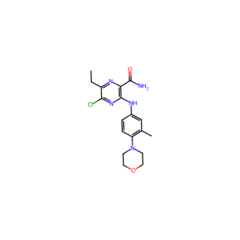 CCc1nc(C(N)=O)c(Nc2ccc(N3CCOCC3)c(C)c2)nc1Cl